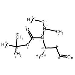 CON(C)N(C(=O)OC(C)(C)C)[C@@H](C)CC=O